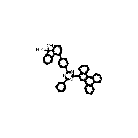 CC1(C)c2ccccc2-c2c(-c3ccc(-c4nc(-c5ccccc5)nc(-c5cc6c7ccccc7c7ccccc7c6c6ccccc56)n4)cc3)cccc21